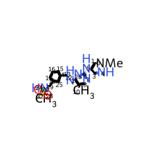 CN/C=C(\C=N)Nc1ncc(C)c(NCc2cccc(CNS(C)(=O)=O)c2)n1